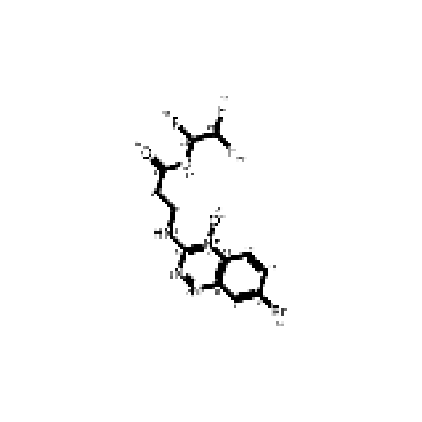 O=C(CCNc1nnc2cc(Br)ccc2[n+]1[O-])OC(F)C(F)F